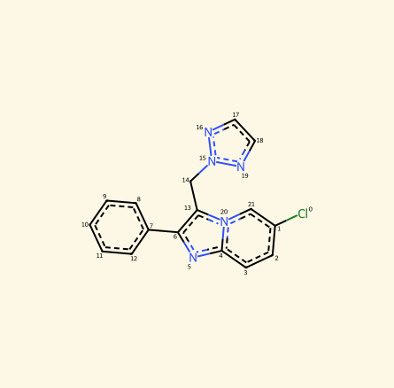 Clc1ccc2nc(-c3ccccc3)c(Cn3nccn3)n2c1